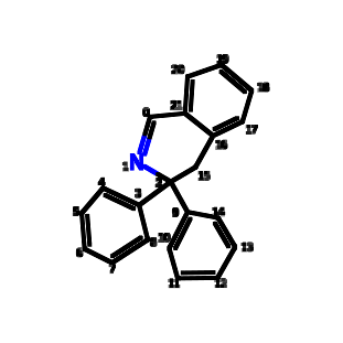 C1=NC(c2ccccc2)(c2ccccc2)Cc2ccccc21